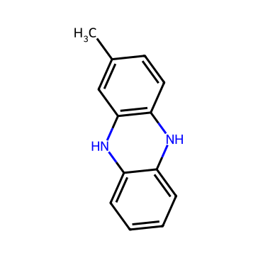 Cc1ccc2c(c1)Nc1ccccc1N2